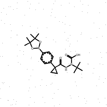 CC(C)(C)N(NC(=O)C1(c2ccc(B3OC(C)(C)C(C)(C)O3)cc2)CC1)C(=O)O